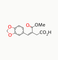 COC(=O)/C(=C\c1ccc2c(c1)OCO2)CC(=O)O